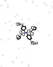 CC(C)(C)c1ccc(/C(OC(=O)c2ccco2)=C(\OC(=O)c2ccco2)c2ccc(C(C)(C)C)cc2)cc1